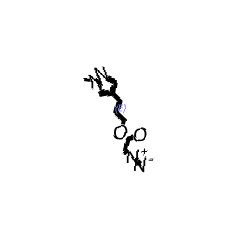 Cn1cc(/C=C/COC(=O)C=[N+]=[N-])cn1